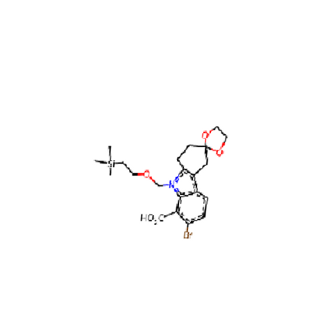 C[Si](C)(C)CCOCn1c2c(c3ccc(Br)c(C(=O)O)c31)CC1(CC2)OCCO1